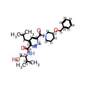 CC(C)Cc1cc(C(=O)N2CCC[C@@H](OCc3ccccc3)C2)nnc1C(=O)N[C@H](CO)C(C)C